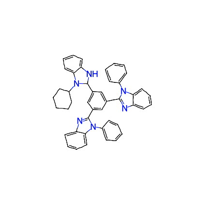 c1ccc(-n2c(-c3cc(-c4nc5ccccc5n4-c4ccccc4)cc(C4Nc5ccccc5N4C4CCCCC4)c3)nc3ccccc32)cc1